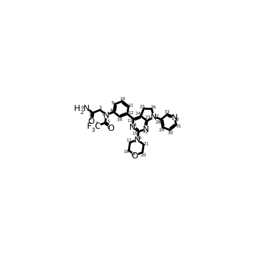 NC(=O)CN(C(=O)C(F)(F)F)c1cccc(-c2nc(N3CCOCC3)nc3c2CCN3c2cccnc2)c1